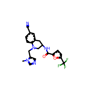 Cn1cncc1CN1CC(NC(=O)c2ccc(C(F)(F)F)o2)Cc2cc(C#N)ccc21